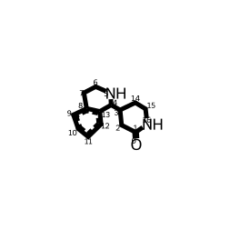 O=C1CC(C2NCCc3ccccc32)CCN1